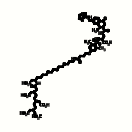 Cc1cc(OCCCC(=O)NCCCOCCOCCOCCCCC(CS(=O)(=O)O)NC(=O)CN(CCN(CCN(CC(=O)O)CC(=O)O)CC(=O)O)CC(=O)O)cc(C)c1S(=O)(=O)NC(CNC(=O)C1CC(=O)c2ccc(CNc3ncc[nH]3)cc2N1C)C(=O)O